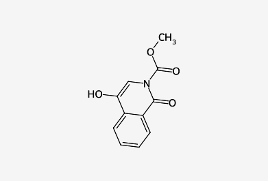 COC(=O)n1cc(O)c2ccccc2c1=O